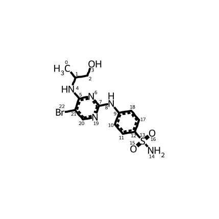 CC(CO)Nc1nc(Nc2ccc(S(N)(=O)=O)cc2)ncc1Br